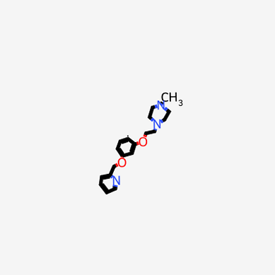 CN1CCN(CCOc2[c]ccc(OCc3ccccn3)c2)CC1